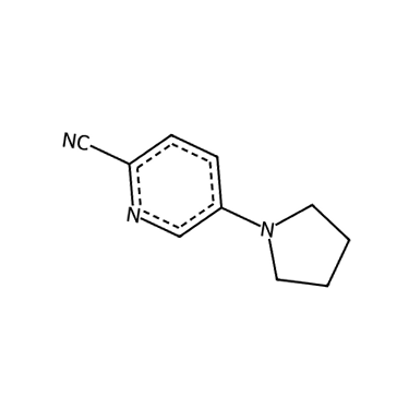 N#Cc1ccc(N2CCCC2)cn1